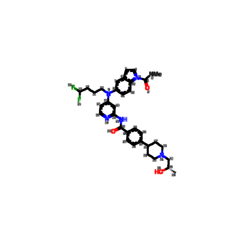 CNC(=O)n1ccc2cc(N(CCCC(F)F)c3ccnc(NC(=O)c4ccc(C5CCN(C[C@H](C)O)CC5)cc4)c3)ccc21